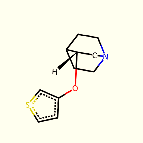 c1cc(O[C@H]2CN3CCC2CC3)cs1